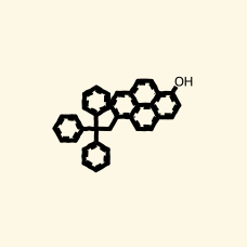 Oc1ccc2ccc3c(CC(c4ccccc4)(c4ccccc4)c4ccccc4)ccc4ccc1c2c43